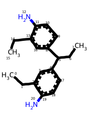 CCc1cc(C(CC)c2ccc(N)c(CC)c2)ccc1N